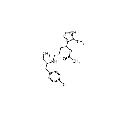 CCC(Cc1ccc(Cl)cc1)NCCCC(OC(C)=O)c1nc[nH]c1C